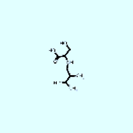 CC(C)C(C)CNC(CO)C(=O)O